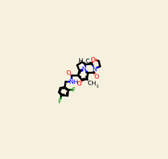 Cc1c2n3c(c(C(=O)NCc4ccc(F)cc4F)c1=O)CCC3C1(C)OCCN1C2=O